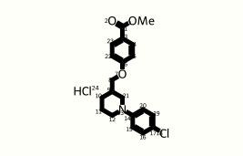 COC(=O)c1ccc(OCC2CCCN(c3ccc(Cl)cc3)C2)cc1.Cl